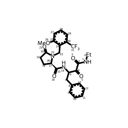 CCNC(=O)C(=O)C(Cc1ccccc1)NC(=O)[C@H]1CCC(=O)N1Cc1c(OC)cccc1C(F)(F)F